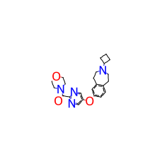 O=C(c1ncc(Oc2ccc3c(c2)CCN(C2CCC2)CC3)cn1)N1CCOCC1